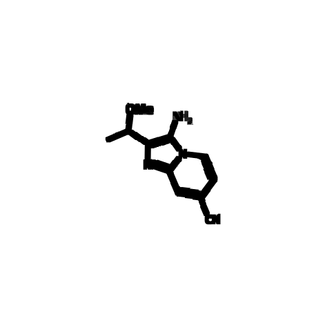 COC(C)c1nc2cc(C#N)ccn2c1N